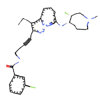 CN1CC[C@@H](Nc2cccc3c(CC(F)(F)F)c(C#CCNC(=O)c4cccc(F)c4)nn23)[C@@H](F)C1